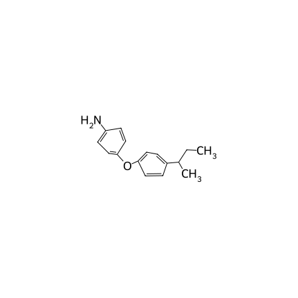 CCC(C)c1ccc(Oc2ccc(N)cc2)cc1